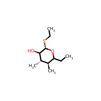 CCS[C@H]1OC(CC)[C@@H](C)[C@H](C)C1O